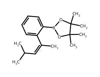 C/C(=C/C(C)C)c1ccccc1B1OC(C)(C)C(C)(C)O1